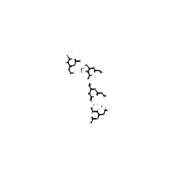 CC(C)CC1OC(COCC2OC(CO)C(O)C(CC(C)C)C2O)C(O)C(COCC2OC(CO)C(O)C(COCC3OC(CO)C(O)C(CC(C)C)C3O)C2O)C1O